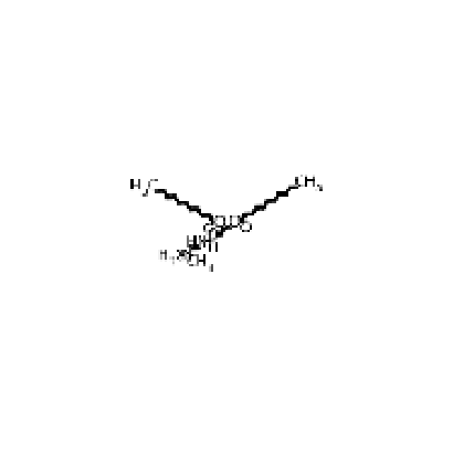 CCCCCCCCCCCC(=O)OCC(COC(=O)NCCN(C)C)OC(=O)CCCCCCCCCCC